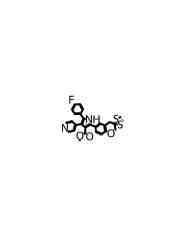 COC(=O)c1c(-c2ccc3c(c2)CC(SC)(SC)CO3)[nH]c(-c2ccc(F)cc2)c1-c1ccncc1